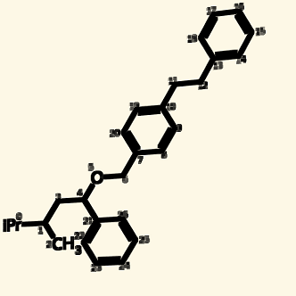 CC(C)C(C)CC(OCc1ccc(CCc2ccccc2)cc1)c1ccccc1